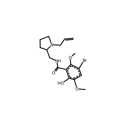 C=CCN1CCCC1CNC(=O)c1c(O)c(OC)cc(Br)c1OC